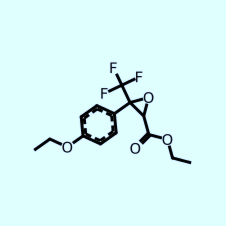 CCOC(=O)C1OC1(c1ccc(OCC)cc1)C(F)(F)F